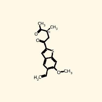 C=Cc1cc2cc(C(=O)C[C@H](C)C(C)=O)sc2cc1OC